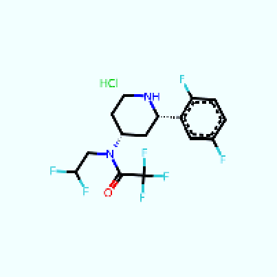 Cl.O=C(N(CC(F)F)[C@@H]1CCN[C@H](c2cc(F)ccc2F)C1)C(F)(F)F